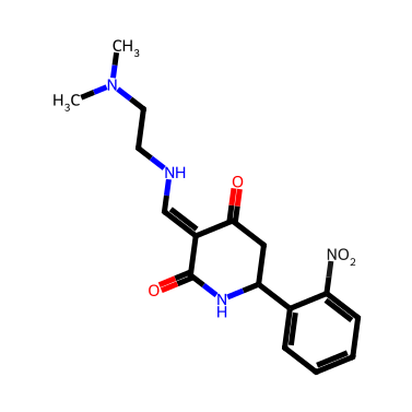 CN(C)CCNC=C1C(=O)CC(c2ccccc2[N+](=O)[O-])NC1=O